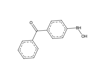 O=C(c1ccccc1)c1ccc(BO)cc1